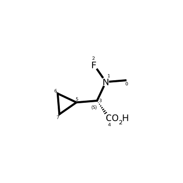 CN(F)[C@H](C(=O)O)C1CC1